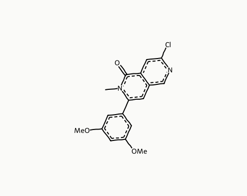 COc1cc(OC)cc(-c2cc3cnc(Cl)cc3c(=O)n2C)c1